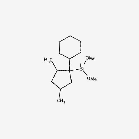 CO[SiH](OC)C1(C2CCCCC2)CC(C)CC1C